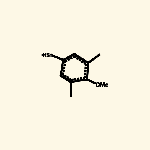 COc1c(C)c[c]([SnH])cc1C